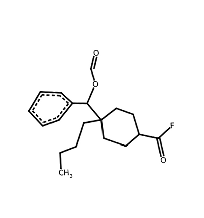 CCCCC1(C(OC=O)c2ccccc2)CCC(C(=O)F)CC1